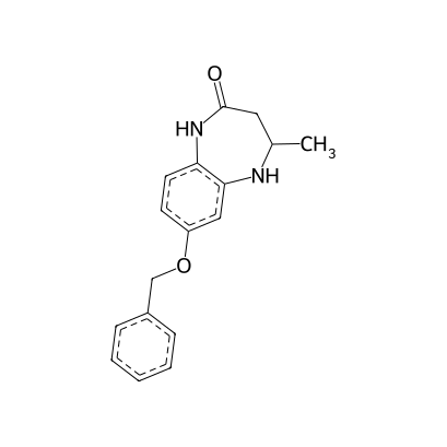 CC1CC(=O)Nc2ccc(OCc3ccccc3)cc2N1